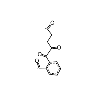 O=[C]CCC(=O)C(=O)c1ccccc1[C]=O